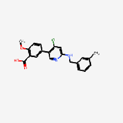 COc1ccc(-c2cnc(NCc3cccc(C)c3)cc2Cl)cc1C(=O)O